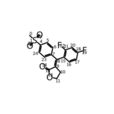 CS(=O)(=O)c1ccc(C(=C2CCOC2=O)c2ccc(F)cc2F)cc1